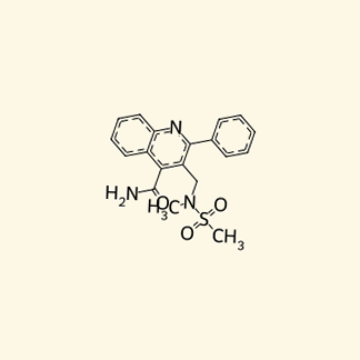 CN(Cc1c(-c2ccccc2)nc2ccccc2c1C(N)=O)S(C)(=O)=O